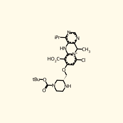 CC(C)c1ncnc2c1Nc1c(C(=O)O)c(OC[C@H]3CN(C(=O)OC(C)(C)C)CCN3)cc(Cl)[n+]1C2C